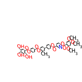 COc1cc(OC)c(C(=O)Oc2ccc(C(=O)Oc3ccc(-c4ccc(OC(=O)c5ccc(OC(=O)c6cc(CO)c(CO)cc6CO)cc5)c(C)c4)cc3)cn2)cc1OC